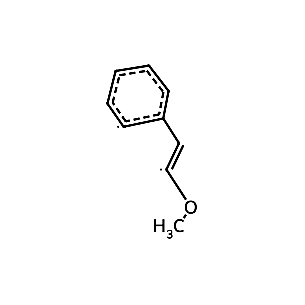 CO[C]=Cc1[c]cccc1